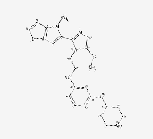 CCc1cnc(-c2cc3sccc3n2C)n1CCOc1cccc(OC2CCNCC2)c1